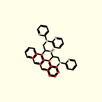 [Br][Au]([CH](CP(c1ccccn1)c1ccccn1)P(c1ccccn1)c1ccccn1)[CH](CP(c1ccccn1)c1ccccn1)P(c1ccccn1)c1ccccn1